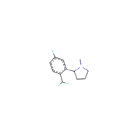 CC(C)N1CCCC1c1cc(F)ccc1C(F)F